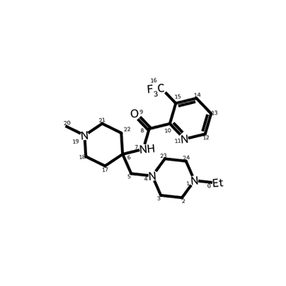 CCN1CCN(CC2(NC(=O)c3ncccc3C(F)(F)F)CCN(C)CC2)CC1